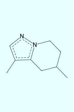 Cc1cnn2c1CC(C)CC2